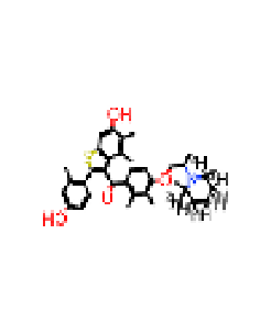 [2H]C1(C)N(C(C)COc2ccc(C(=O)c3c(-c4ccc(O)cc4C)sc4cc(O)c(C)c(C)c34)c(C)c2C)C([2H])(C)C([2H])([2H])C([2H])([2H])C1([2H])[2H]